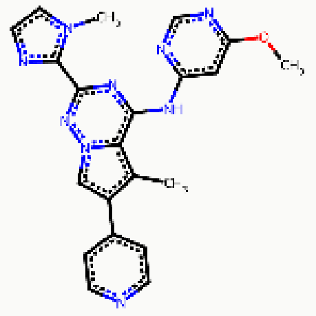 COc1cc(Nc2nc(-c3nccn3C)nn3cc(-c4ccncc4)c(C)c23)ncn1